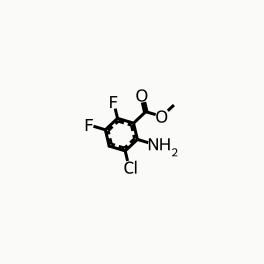 COC(=O)c1c(N)c(Cl)cc(F)c1F